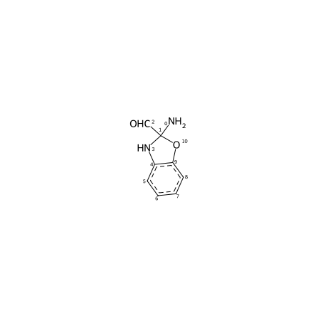 NC1(C=O)Nc2ccccc2O1